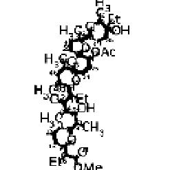 CC[C@@H](C(=O)[C@@H](C)[C@@H](O)[C@H](C)[C@H]1CCC[C@H]([C@@H](CC)C(=O)OC)O1)[C@H]1O[C@@]2(C=C[C@H](OC(C)=O)[C@]3(CC[C@@](C)([C@H]4CC[C@](O)(CC)[C@H](C)O4)O3)O2)[C@H](C)C[C@@H]1C